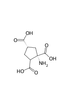 N[C@@]1(C(=O)O)C[C@@H](C(=O)O)CC1C(=O)O